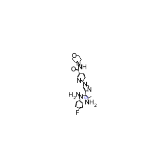 C/C(N)=C(\c1cn(-c2ccc(C(=O)NN3CCOCC3)cn2)cn1)N(N)c1ccc(F)cc1